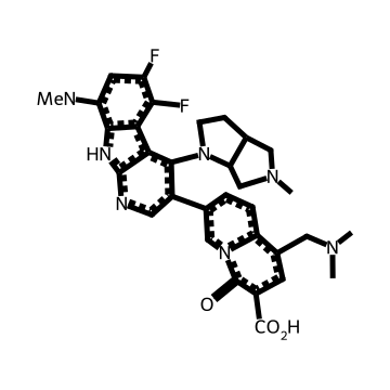 CNc1cc(F)c(F)c2c1[nH]c1ncc(-c3ccc4c(CN(C)C)cc(C(=O)O)c(=O)n4c3)c(N3CCC4CN(C)CC43)c12